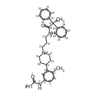 Cc1ccc(NC(=O)C(C)C)cc1C1CCN(CCCNC(=O)C(C)(c2ccccc2)c2ccccc2)CC1